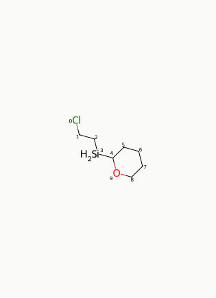 ClCC[SiH2]C1CCCCO1